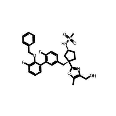 Cc1oc([C@@]2(Cc3ccc(F)c(-c4cccc(F)c4OCc4ccccc4)c3)CC[C@H](NS(C)(=O)=O)C2)nc1CO